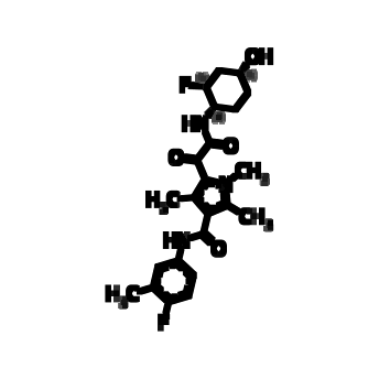 Cc1cc(NC(=O)c2c(C)c(C(=O)C(=O)N[C@@H]3CC[C@H](O)C[C@@H]3F)n(C)c2C)ccc1F